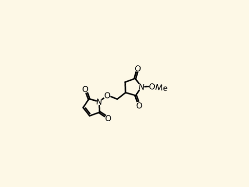 CON1C(=O)CC(CON2C(=O)C=CC2=O)C1=O